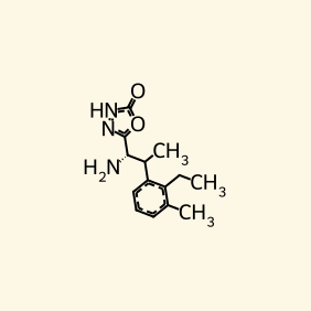 CCc1c(C)cccc1C(C)[C@H](N)c1n[nH]c(=O)o1